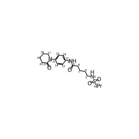 CC(C)S(=O)(=O)NCCCCC(=O)Nc1ccc(N2CCCCC2=O)cc1